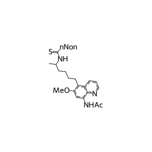 CCCCCCCCCC(=S)NC(C)CCCCc1c(OC)cc(NC(C)=O)c2ncccc12